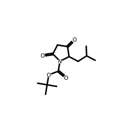 CC(C)CC1C(=O)CC(=O)N1C(=O)OC(C)(C)C